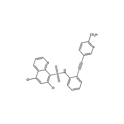 O=C(O)c1ccc(C#Cc2ccccc2NS(=O)(=O)c2c(Cl)cc(Cl)c3cccnc23)cn1